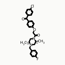 C[C@@H]1CN(C(=O)COc2ccc(C(=O)c3ccc(Cl)cc3)cc2)[C@@H](C)CN1Cc1ccc(F)cc1